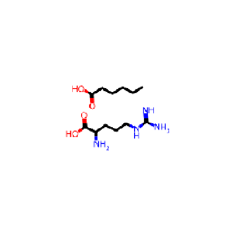 CCCCCC(=O)O.N=C(N)NCCCC(N)C(=O)O